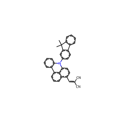 CC1(C)c2ccccc2-c2ccc(N3c4ccccc4-c4cccc5c(C=C(C#N)C#N)ccc3c45)cc21